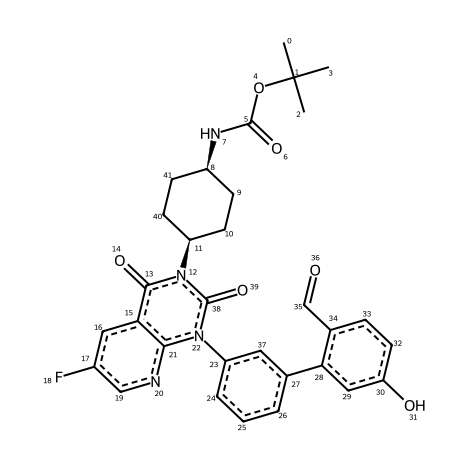 CC(C)(C)OC(=O)N[C@H]1CC[C@@H](n2c(=O)c3cc(F)cnc3n(-c3cccc(-c4cc(O)ccc4C=O)c3)c2=O)CC1